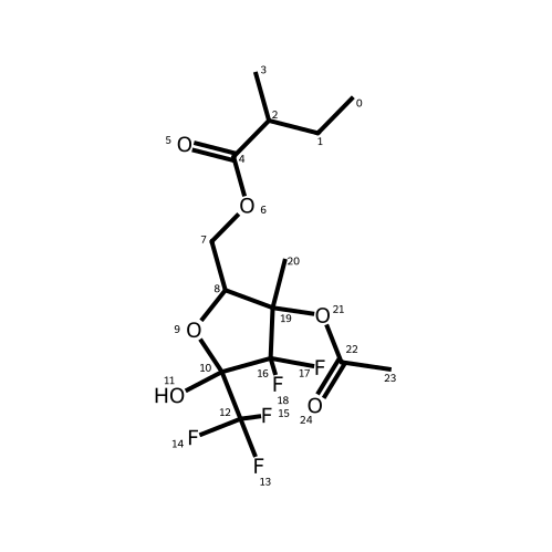 CCC(C)C(=O)OCC1OC(O)(C(F)(F)F)C(F)(F)C1(C)OC(C)=O